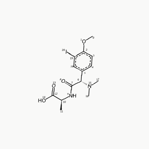 COc1ccc([C@@H](C(=O)N[C@@H](C)C(=O)O)N(C)C)cc1I